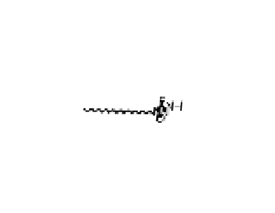 CCCCCCCCCCCCCCCCCCCCn1cc(F)c(=N)n(C)c1=O